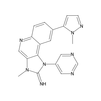 Cn1nccc1-c1ccc2ncc3c(c2c1)n(-c1cncnc1)c(=N)n3C